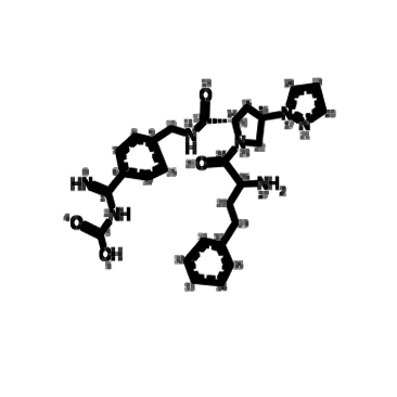 N=C(NC(=O)O)c1ccc(CNC(=O)[C@@H]2CC(n3cccn3)CN2C(=O)C(N)CCc2ccccc2)cc1